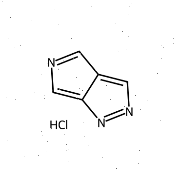 C1=NC=C2N=NC=C12.Cl